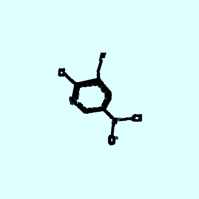 [O-][S+](Cl)c1cnc(Cl)c(F)c1